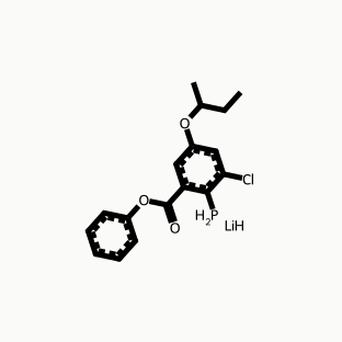 CCC(C)Oc1cc(Cl)c(P)c(C(=O)Oc2ccccc2)c1.[LiH]